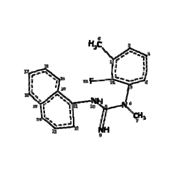 Cc1cccc(N(C)C(=N)Nc2cccc3ccccc23)c1F